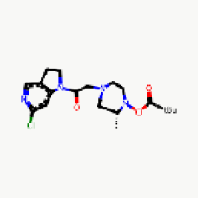 C[C@@H]1CN(CC(=O)N2CCc3cnc(Cl)cc32)CCN1OC(=O)C(C)(C)C